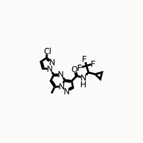 Cc1cc(-n2ccc(Cl)n2)nc2c(C(=O)NC(C3CC3)C(F)(F)F)cnn12